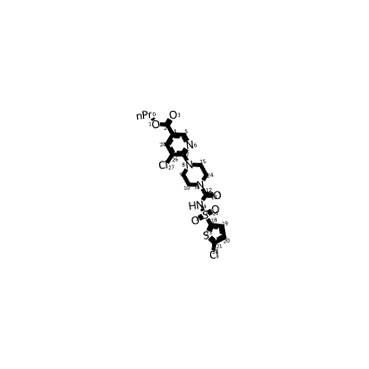 CCCOC(=O)c1cnc(N2CCN(C(=O)NS(=O)(=O)c3ccc(Cl)s3)CC2)c(Cl)c1